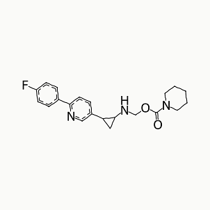 O=C(OCNC1CC1c1ccc(-c2ccc(F)cc2)nc1)N1CCCCC1